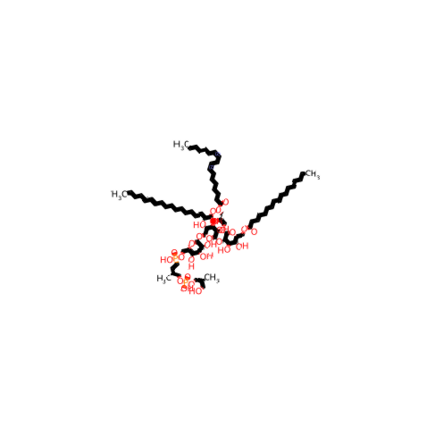 CCCCCC/C=C\C/C=C\CCCCCCC(=O)OC[C@H](CO[C@@H]1OC(COC(=O)CCCCCCCCCCCCCCCC)[C@@H](O)C(O)[C@@H]1O[C@@H]1OC(O[C@H]2OC(COP(=O)(O)CC[C@@H](C)COP(=O)(O)OC[C@@H](C)CO)[C@H](O)C(O)[C@H]2O)[C@H](O)C(O)[C@H]1O)OC(=O)CCCCCCCCCCCCCCCCC